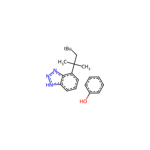 CC(C)(C)CC(C)(C)c1cccc2[nH]nnc12.Oc1ccccc1